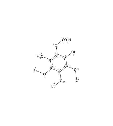 CCOc1c(C)c(OC(=O)O)c(O)c(OCC)c1OCC